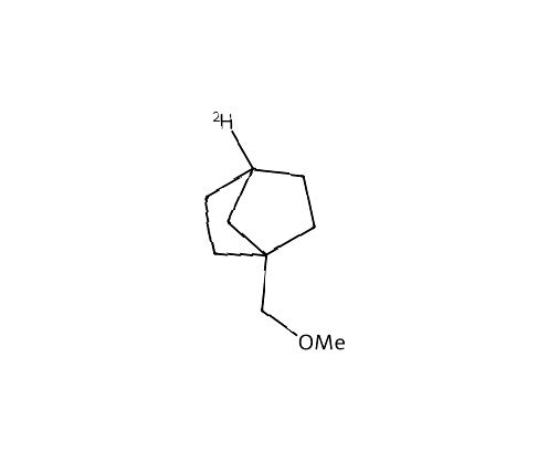 [2H]C12CCC(COC)(CC1)C2